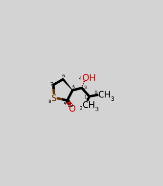 CC(C)[C@@H](O)[C@@H]1CCSC1=O